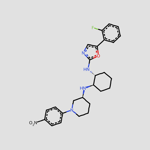 O=[N+]([O-])c1ccc(N2CCC[C@H](N[C@@H]3CCCC[C@H]3Nc3ncc(-c4ccccc4F)o3)C2)cc1